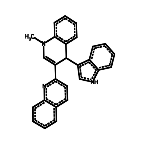 CN1C=C(c2ccc3ccccc3n2)C(c2c[nH]c3ccccc23)c2ccccc21